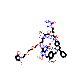 CCOc1nc(N)c2nc(O)n(Cc3ccc(CN(C(=O)O)C(Cc4ccc(NC(=O)[C@H](CCCNC(N)=O)NC(=O)[C@@H](NC(=O)CCOCCOCCOCCN5C(=O)C=CC5=O)C(C)C)cc4)c4ccccc4)cc3OC)c2n1